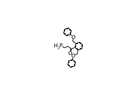 O=C(CCP)c1c(COc2ccccc2)cccc1COc1ccccc1